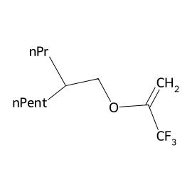 C=C(OCC(CCC)CCCCC)C(F)(F)F